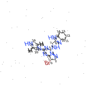 Brc1cnn2c(NCc3nc4ccccc4[nH]3)nc(N3C[C@H]4C[C@@H]3CN4)nc12